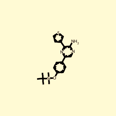 CC(C)(C)[Si](C)(C)Oc1ccc(-c2cnc(N)c(-c3ccsc3)n2)cc1